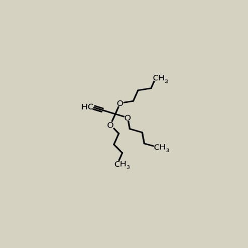 C#CC(OCCCC)(OCCCC)OCCCC